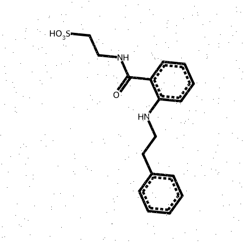 O=C(NCCS(=O)(=O)O)c1ccccc1NCCc1ccccc1